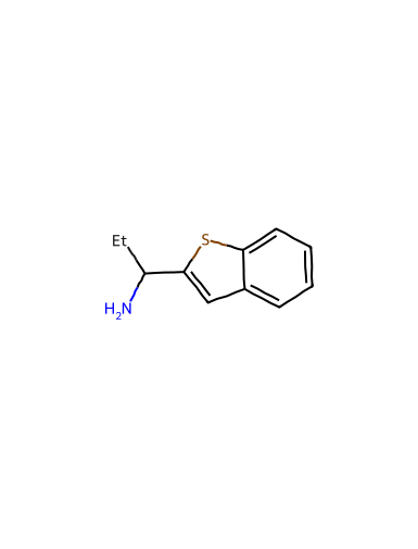 [CH2]CC(N)c1cc2ccccc2s1